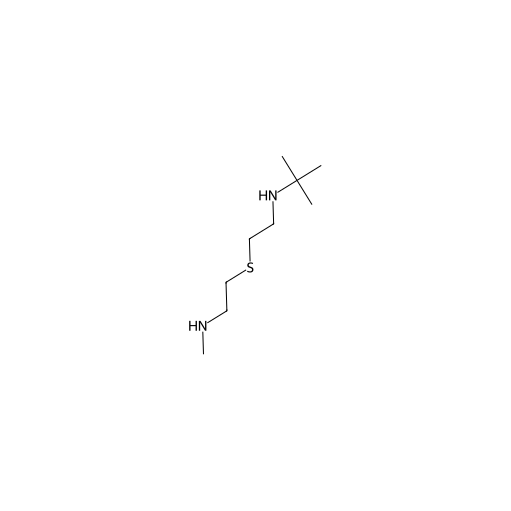 CNCCSCCNC(C)(C)C